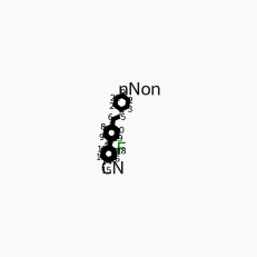 CCCCCCCCC[C@H]1CC[C@H](CCc2ccc(-c3ccc(C#N)cc3F)cc2)CC1